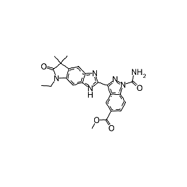 CCN1C(=O)C(C)(C)c2cc3nc(-c4nn(C(N)=O)c5ccc(C(=O)OC)cc45)[nH]c3cc21